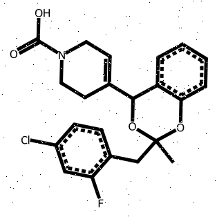 CC1(Cc2ccc(Cl)cc2F)Oc2ccccc2C(C2=CCN(C(=O)O)CC2)O1